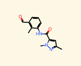 Cc1cc(C(=O)Nc2cccc(C=O)c2C)n(C)n1